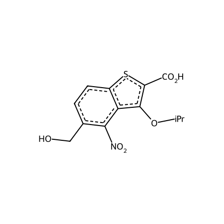 CC(C)Oc1c(C(=O)O)sc2ccc(CO)c([N+](=O)[O-])c12